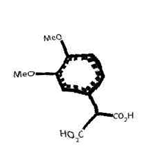 COc1ccc(C(C(=O)O)C(=O)O)cc1OC